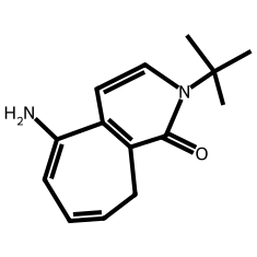 CC(C)(C)n1ccc2c(c1=O)CC=CC=C2N